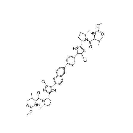 COC(=O)N[C@H](C(=O)N1[C@@H](C)CC[C@H]1C1=NC(Cl)C(c2ccc(-c3ccc4cc(-c5[nH]c([C@@H]6CC[C@H](C)N6C(=O)[C@@H](NC(=O)OC)C(C)C)nc5Cl)ccc4c3)cc2)N1)C(C)C